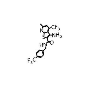 Cc1cc(C(F)(F)F)c2c(N)c(C(=O)NCc3ccc(C(F)(F)F)cc3)sc2n1